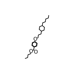 CCCCCC1CCC(CCCOc2ccc(C(=O)OCCCC)cc2)CC1